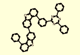 c1ccc(-c2nc(-c3ccccc3)nc(-c3cccc(-c4cccc5oc6ccc(-c7ccc8sc9cccc(-c%10ccccc%10)c9c8c7)cc6c45)c3)n2)cc1